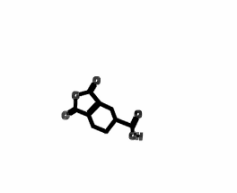 O=C1OC(=O)C2=C1CCC(C(=O)O)C2